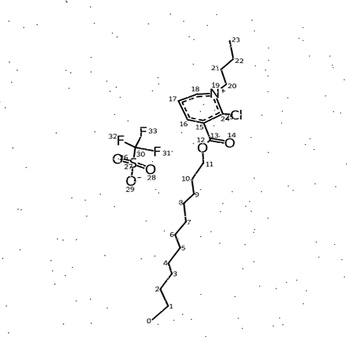 CCCCCCCCCCCCOC(=O)c1ccc[n+](CCCC)c1Cl.O=S(=O)([O-])C(F)(F)F